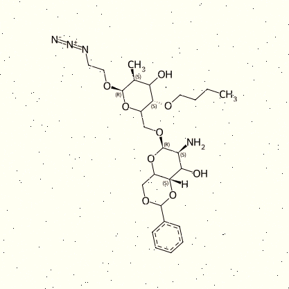 CCCCO[C@@H]1C(CO[C@@H]2OC3COC(c4ccccc4)O[C@H]3C(O)[C@@H]2N)O[C@@H](OCCN=[N+]=[N-])[C@@H](C)C1O